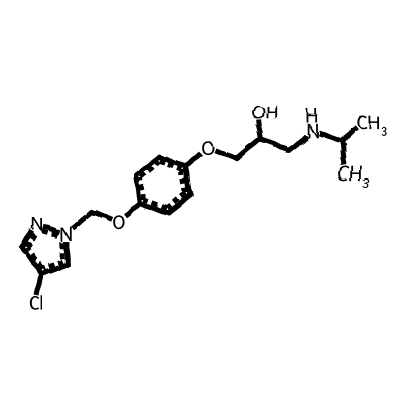 CC(C)NCC(O)COc1ccc(OCn2cc(Cl)cn2)cc1